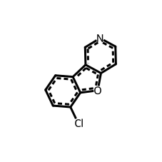 Clc1cccc2c1oc1ccncc12